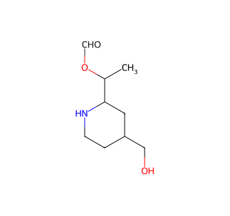 CC(OC=O)C1CC(CO)CCN1